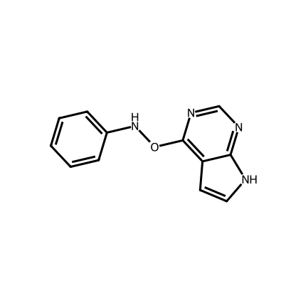 c1ccc(NOc2ncnc3[nH]ccc23)cc1